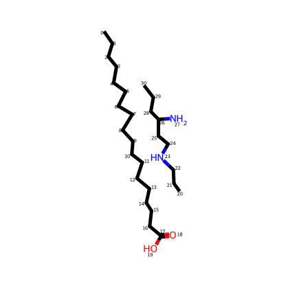 CCCCCCCCCCCCCCCCCC(=O)O.CCCNCCC(N)CCC